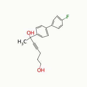 CC(O)(C#CCCCO)c1ccc(-c2ccc(F)cc2)cc1